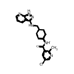 Cc1ncc(Cl)cc1C(=O)NC1CCC(CNc2n[nH]c3ncccc23)CC1